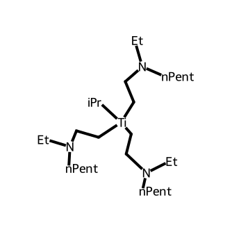 CCCCCN(CC)C[CH2][Ti]([CH2]CN(CC)CCCCC)([CH2]CN(CC)CCCCC)[CH](C)C